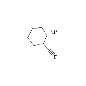 [C-]#CC1CCCCC1.[Li+]